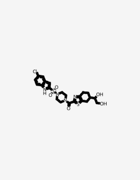 O=C(c1nc2c(s1)CC(C(O)CO)CC2)N1CCN(S(=O)(=O)c2cc3cc(Cl)ccc3[nH]2)CC1